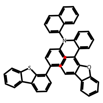 c1ccc(N(c2ccc(-c3cccc4c3sc3ccccc34)cc2)c2cccc3ccccc23)c(-c2cccc3c2oc2ccccc23)c1